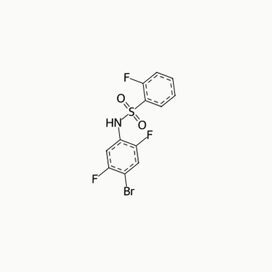 O=S(=O)(Nc1cc(F)c(Br)cc1F)c1ccccc1F